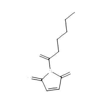 CCCCCC(=O)N1C(=O)C=CC1=O